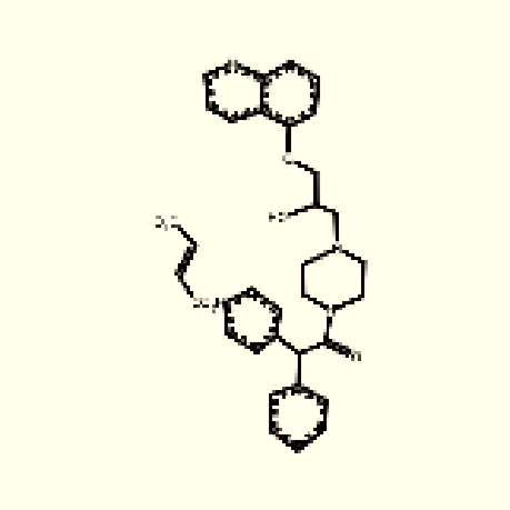 O=C(C(c1ccccc1)c1ccccc1)N1CCN(CC(O)COc2cccc3ncccc23)CC1.O=C(O)C=CC(=O)O